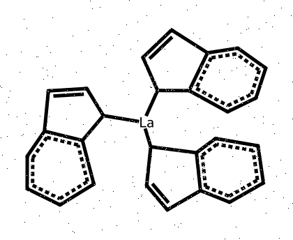 C1=C[CH]([La]([CH]2C=Cc3ccccc32)[CH]2C=Cc3ccccc32)c2ccccc21